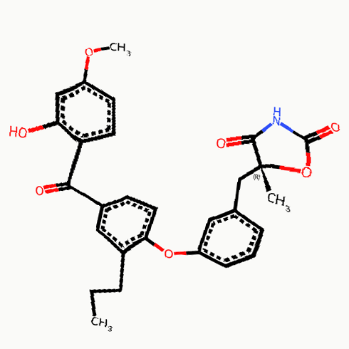 CCCc1cc(C(=O)c2ccc(OC)cc2O)ccc1Oc1cccc(C[C@@]2(C)OC(=O)NC2=O)c1